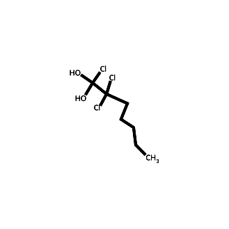 CCCCCC(Cl)(Cl)C(O)(O)Cl